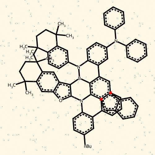 CCCCc1ccc(N2c3oc4cc5c(cc4c3B3c4c(cc6c(sc7ccccc76)c42)-c2cc(N(c4ccccc4)c4ccccc4)ccc2N3c2ccc3c(c2)C(C)(C)CCC3(C)C)C(C)(C)CCC5(C)C)c(-c2ccccc2)c1